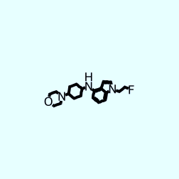 FCCn1ccc2c(NC3CCC(N4CCOCC4)CC3)cccc21